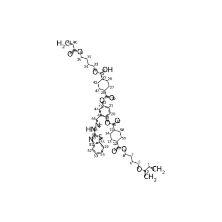 C=CC(=C)OCCCCOC(=O)C1CCC(C(=O)Oc2ccc(OC(=O)C3CCC(C(O)OCCCCOC(=O)C=C)CC3)cc2/C=N/Nc2nc3ccccc3s2)CC1